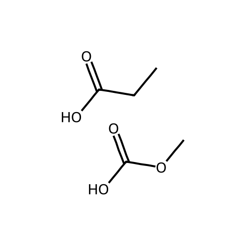 CCC(=O)O.COC(=O)O